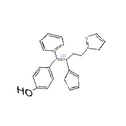 Oc1ccc(/C(=C(/CCC2=CC=CC2)C2=CC=CC2)c2ccccc2)cc1